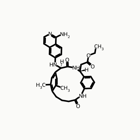 CCOC(=O)C[C@H]1NC(=O)[C@H](Nc2ccc3c(N)nccc3c2)c2cc(C)c(c(C)c2)CCCC(=O)Nc2cccc1c2